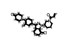 C=CC(=O)N1CCC[C@@H](n2nc(-c3ccc(-n4ccc(=O)cc4)c(F)c3)c3cncc(Cl)c32)C1